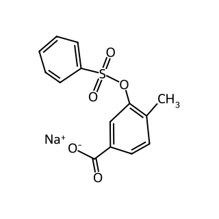 Cc1ccc(C(=O)[O-])cc1OS(=O)(=O)c1ccccc1.[Na+]